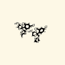 CCCC1COC(Cn2cncn2)(c2ccc(Cl)cc2Cl)O1.CCCC1COC(c2ccc(Cl)cc2Cl)(n2cnc(C)n2)O1